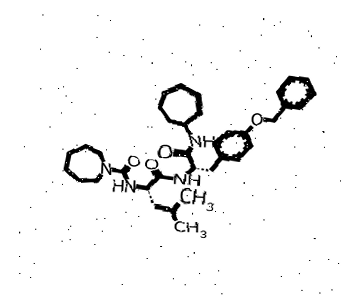 CC(C)C[C@H](NC(=O)N1CCCCCC1)C(=O)N[C@@H](Cc1ccc(OCc2ccccc2)cc1)C(=O)NC1CCCCCC1